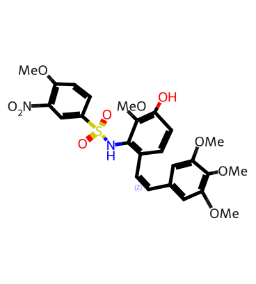 COc1ccc(S(=O)(=O)Nc2c(/C=C\c3cc(OC)c(OC)c(OC)c3)ccc(O)c2OC)cc1[N+](=O)[O-]